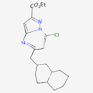 CCOC(=O)c1cc2nc(CC3CCC4CCCCC4C3)cc(Cl)n2n1